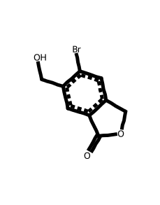 O=C1OCc2cc(Br)c(CO)cc21